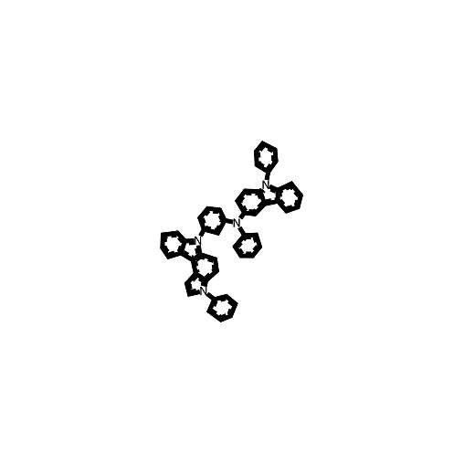 c1ccc(N(c2cccc(-n3c4ccccc4c4c5ccn(-c6ccccc6)c5ccc43)c2)c2ccc3c(c2)c2ccccc2n3-c2ccccc2)cc1